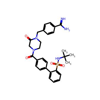 CC(C)(C)NS(=O)(=O)c1ccccc1-c1ccc(C(=O)N2CCN(Cc3ccc(C(=N)N)cc3)C(=O)C2)cc1